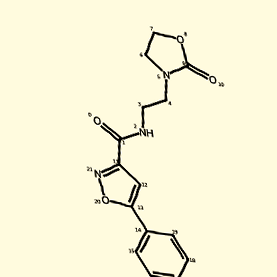 O=C(NCCN1CCOC1=O)c1cc(-c2ccccc2)on1